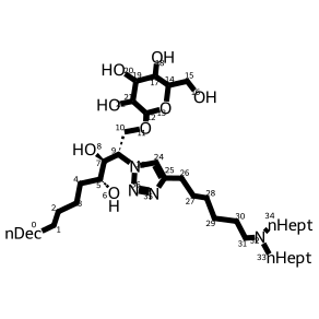 CCCCCCCCCCCCCC[C@@H](O)[C@@H](O)[C@H](COC1OC(CO)C(O)C(O)C1O)n1cc(CCCCCCN(CCCCCCC)CCCCCCC)nn1